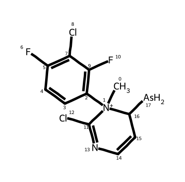 C[N+]1(c2ccc(F)c(Cl)c2F)C(Cl)=NC=CC1[AsH2]